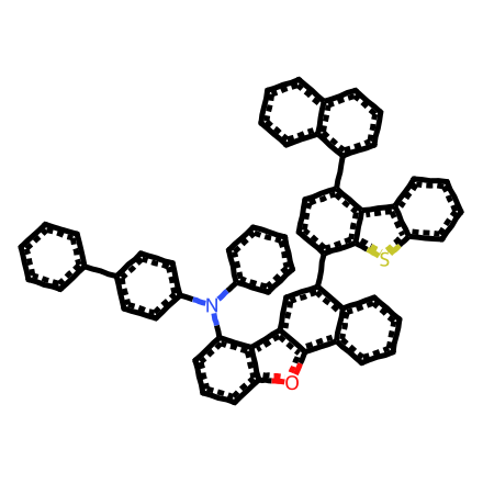 c1ccc(-c2ccc(N(c3ccccc3)c3cccc4oc5c6ccccc6c(-c6ccc(-c7cccc8ccccc78)c7c6sc6ccccc67)cc5c34)cc2)cc1